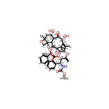 C=C(O[C@H]1C[C@@]2(O)[C@@H](OC(=O)c3ccccc3)C3[C@](C)(C(=O)[C@H](O)C(=C1C)C2(C)C)[C@@H](O)C[C@H]1OC[C@@]31OC(C)=O)[C@H](OC(=O)CCCCCCCCC)[C@@H](NC(=O)OC(C)(C)C)c1ccccc1